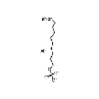 CCCCCCCCCCCCCCCCCCOP(=O)([O-])[O-].[Al+2]